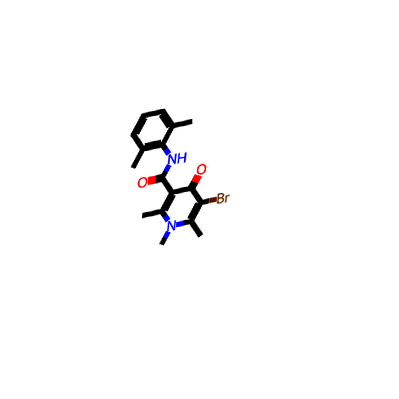 Cc1cccc(C)c1NC(=O)c1c(C)n(C)c(C)c(Br)c1=O